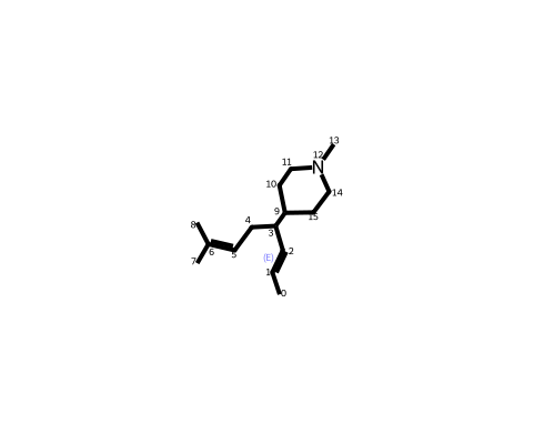 C/C=C/C(CC=C(C)C)C1CCN(C)CC1